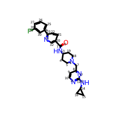 O=C(NC1CCN(Cc2ccnc(NC3CC3)n2)CC1)c1ccc(-c2cccc(F)c2)nc1